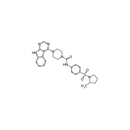 CC1CCCN1S(=O)(=O)c1ccc(NC(=S)N2CCN(c3ncnc4[nH]c5ccccc5c34)CC2)cc1